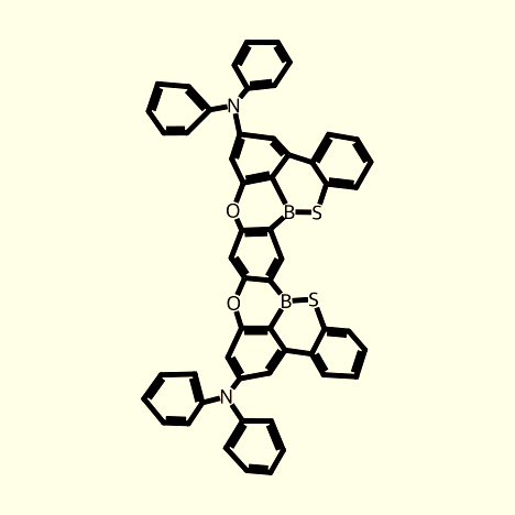 c1ccc(N(c2ccccc2)c2cc3c4c(c2)-c2ccccc2SB4c2cc4c(cc2O3)Oc2cc(N(c3ccccc3)c3ccccc3)cc3c2B4Sc2ccccc2-3)cc1